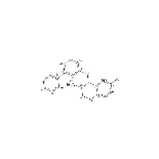 Cc1ccc2c(n1)C(Cc1cccc(-c3ccccc3)c1)C(N)CC2